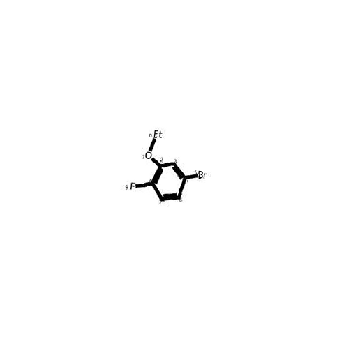 CCOc1cc(Br)ccc1F